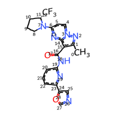 Cc1nn2ccc(N3CCC[C@@H]3C(F)(F)F)nc2c1C(=O)Nc1cccc(-c2cnco2)n1